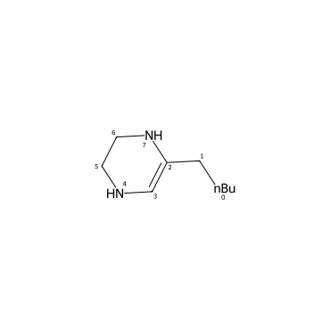 CCCCCC1=CNCCN1